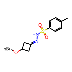 CCCCOC1CC(=NNS(=O)(=O)c2ccc(C)cc2)C1